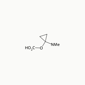 CNC1(OC(=O)O)CC1